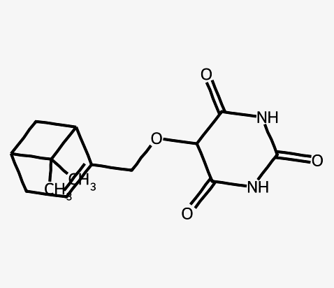 CC1(C)C2CC=C(COC3C(=O)NC(=O)NC3=O)C1C2